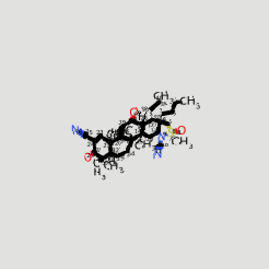 CCCC[C@]1(CS(C)(=O)=NC#N)CC[C@]2(C)[C@H](C(=O)C=C3[C@@]4(C)C=C(C#N)C(=O)C(C)(C)[C@@H]4CC[C@]32C)[C@@H]1CCC